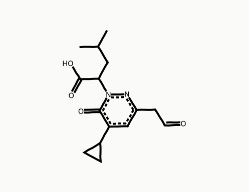 CC(C)CC(C(=O)O)n1nc(CC=O)cc(C2CC2)c1=O